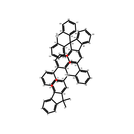 CC1(C)c2ccccc2-c2ccc(N(c3ccccc3-c3ccccc3)c3ccccc3-c3ccc4c(c3)-c3ccccc3C43c4ccccc4Oc4ccccc43)cc21